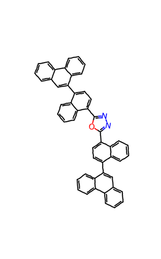 c1ccc2c(c1)cc(-c1ccc(-c3nnc(-c4ccc(-c5cc6ccccc6c6ccccc56)c5ccccc45)o3)c3ccccc13)c1ccccc12